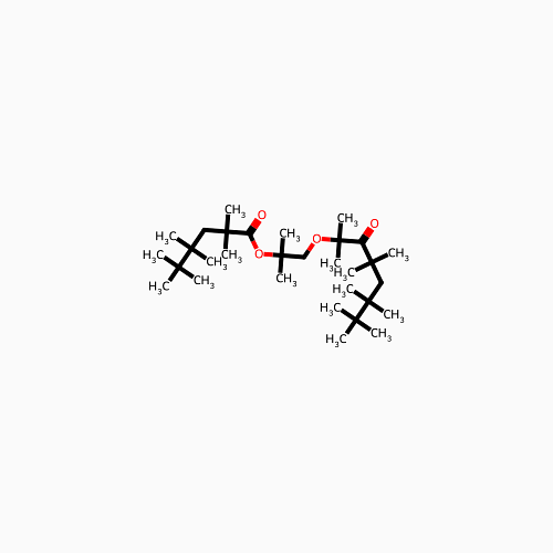 CC(C)(COC(C)(C)C(=O)C(C)(C)CC(C)(C)C(C)(C)C)OC(=O)C(C)(C)CC(C)(C)C(C)(C)C